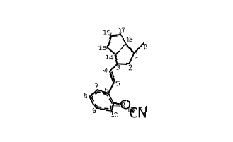 CC1CC(/C=C/c2ccccc2OC#N)C2CCCC12